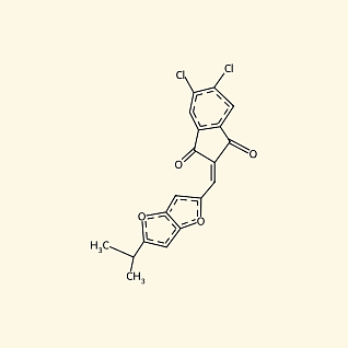 CC(C)c1cc2oc(C=C3C(=O)c4cc(Cl)c(Cl)cc4C3=O)cc2o1